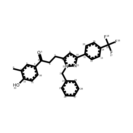 Cc1cc(C(=O)CCc2cc(-c3ccc(C(F)(F)F)cc3)nn2Cc2ccccc2)ccc1O